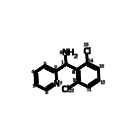 NC(c1ccccn1)c1c(Cl)cccc1Cl